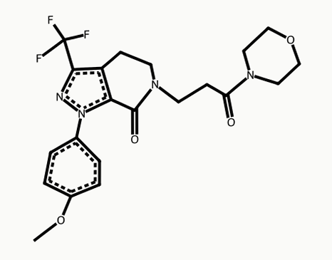 COc1ccc(-n2nc(C(F)(F)F)c3c2C(=O)N(CCC(=O)N2CCOCC2)CC3)cc1